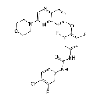 O=C(Nc1ccc(Cl)c(F)c1)Nc1cc(F)c(Oc2ccc3ncc(N4CCOCC4)nc3c2)c(F)c1